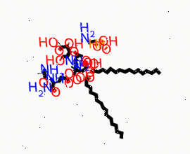 CCCCCCCCCCCCCCCC(=O)OC([C@H](CO)OC(=O)CCCCCCCCCCCCCCC)[C@](C)(C(=O)OC(=O)CC[C@H](NC(=O)[C@H](C)N)C(N)=O)N(CC(C)O[C@@H]1[C@@H](N)[C@@H](O)O[C@H](CO)[C@H]1O)C(C)=O.NCCO[PH](=O)O